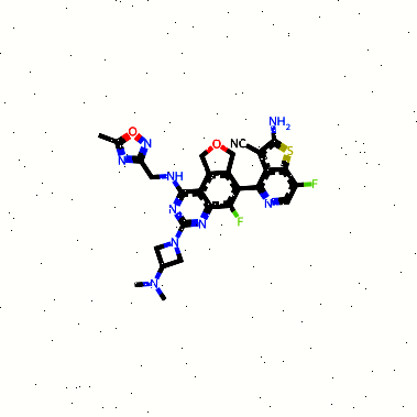 Cc1nc(CNc2nc(N3CC(N(C)C)C3)nc3c(F)c(-c4ncc(F)c5sc(N)c(C#N)c45)c4c(c23)COC4)no1